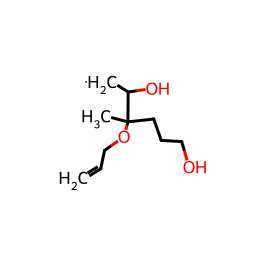 [CH2]C(O)C(C)(CCCO)OCC=C